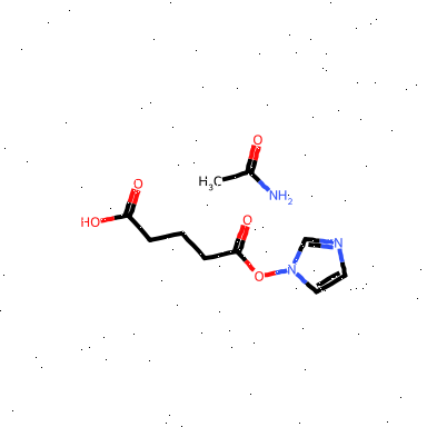 CC(N)=O.O=C(O)CCCC(=O)On1ccnc1